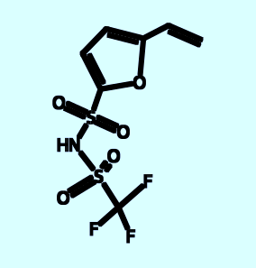 C=Cc1ccc(S(=O)(=O)NS(=O)(=O)C(F)(F)F)o1